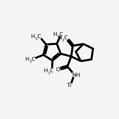 C=C1C2CCC(C2)C1(C(=O)[NH][Ti])C1=C(C)C(C)=C(C)C1C